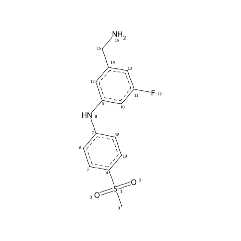 CS(=O)(=O)c1ccc(Nc2cc(F)cc(CN)c2)cc1